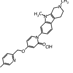 CN1CCc2c(n(C)c3cc(-n4ccc(OCc5ccc(F)cn5)cc4=O)ccc23)C1.Cl